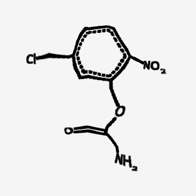 NC(=O)Oc1cc(Cl)ccc1[N+](=O)[O-]